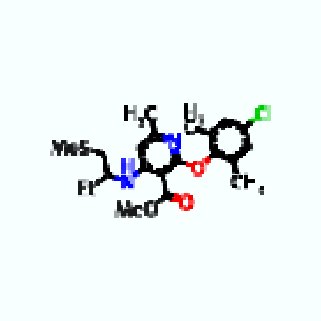 CCC(CSC)Nc1cc(C)nc(Oc2c(C)cc(Cl)cc2C)c1C(=O)OC